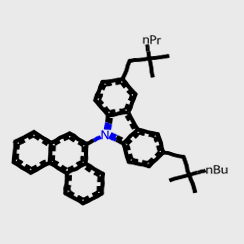 CCCCC(C)(C)Cc1ccc2c(c1)c1cc(CC(C)(C)CCC)ccc1n2-c1cc2ccccc2c2ccccc12